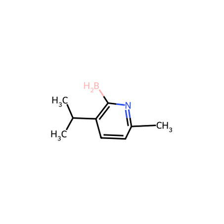 Bc1nc(C)ccc1C(C)C